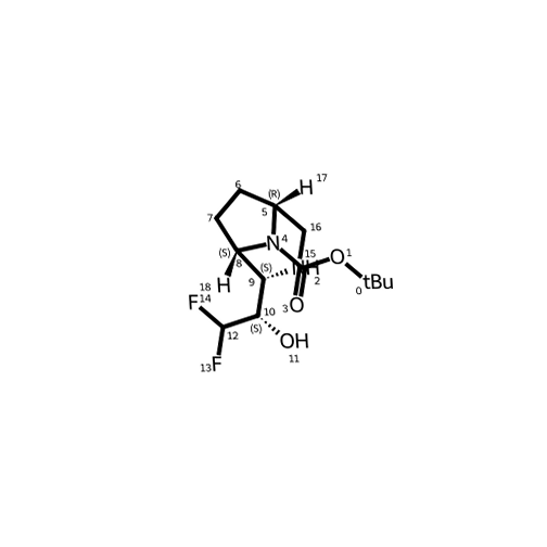 CC(C)(C)OC(=O)N1[C@@H]2CC[C@H]1[C@@H]([C@H](O)C(F)F)NC2